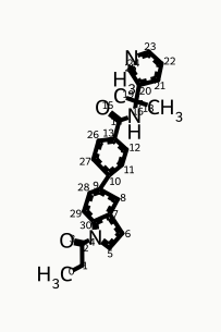 CCC(=O)n1ccc2cc(-c3ccc(C(=O)NC(C)(C)c4cccnc4)cc3)ccc21